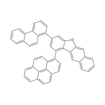 c1ccc2cc3c(cc2c1)oc1cc(-c2cccc4c2ccc2ccccc24)cc(-c2ccc4ccc5cccc6ccc2c4c56)c13